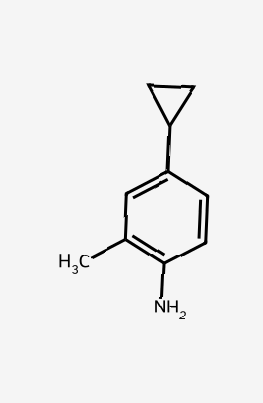 Cc1cc(C2CC2)ccc1N